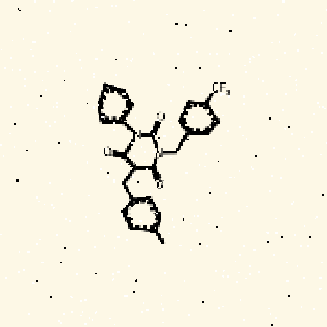 Cc1ccc(CC2C(=O)N(Cc3ccc(C(F)(F)F)cc3)C(=O)N(c3ccccc3)C2=O)cc1